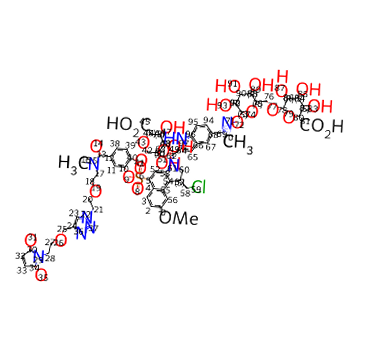 COc1ccc2c(S(=O)(=O)Oc3cc(C(=O)N(C)CCOCCn4cc(COCCN5C(=O)C=CC5=O)nn4)ccc3OC3O[C@H](C(=O)O)[C@@H](O)[C@H](O)[C@H]3O)cc3c(c2c1)[C@H](CCl)CN3C(=O)c1cc2cc(/C(C)=N/O[C@@H]3O[C@H](COC4OC(C(=O)O)[C@@H](O)[C@H](O)[C@H]4O)[C@H](O)C(O)[C@H]3O)ccc2[nH]1